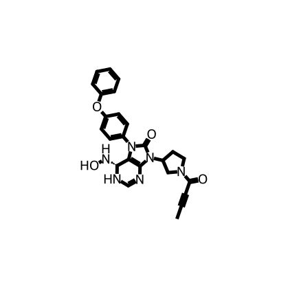 CC#CC(=O)N1CCC(n2c3c(n(-c4ccc(Oc5ccccc5)cc4)c2=O)[C@@H](NO)NC=N3)C1